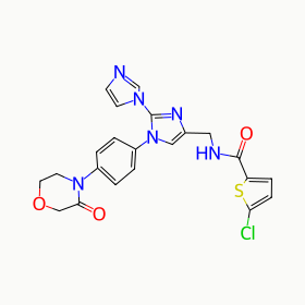 O=C(NCc1cn(-c2ccc(N3CCOCC3=O)cc2)c(-n2ccnc2)n1)c1ccc(Cl)s1